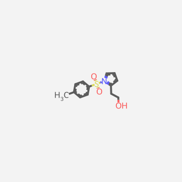 Cc1ccc(S(=O)(=O)n2cccc2CCO)cc1